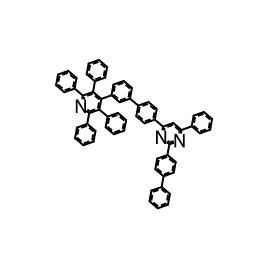 c1ccc(-c2ccc(-c3nc(-c4ccccc4)cc(-c4ccc(-c5cccc(-c6c(-c7ccccc7)c(-c7ccccc7)nc(-c7ccccc7)c6-c6ccccc6)c5)cc4)n3)cc2)cc1